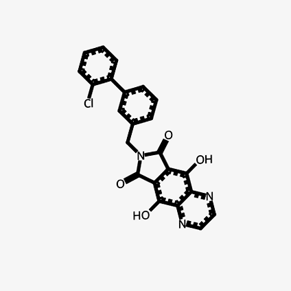 O=C1c2c(c(O)c3nccnc3c2O)C(=O)N1Cc1cccc(-c2ccccc2Cl)c1